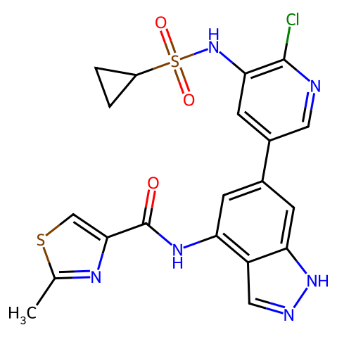 Cc1nc(C(=O)Nc2cc(-c3cnc(Cl)c(NS(=O)(=O)C4CC4)c3)cc3[nH]ncc23)cs1